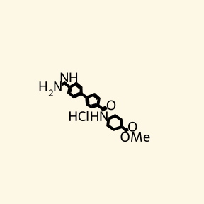 COC(=O)C1CCC(NC(=O)c2ccc(-c3ccc(C(=N)N)cc3)cc2)CC1.Cl